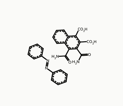 NC(=O)c1c(C(=O)O)c(C(=O)O)c2ccccc2c1C(N)=O.c1ccc(N=Nc2ccccc2)cc1